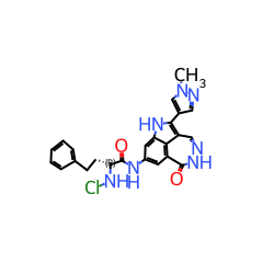 Cn1cc(-c2[nH]c3cc(NC(=O)[C@@H](CCc4ccccc4)NCl)cc4c3c2C=NNC4=O)cn1